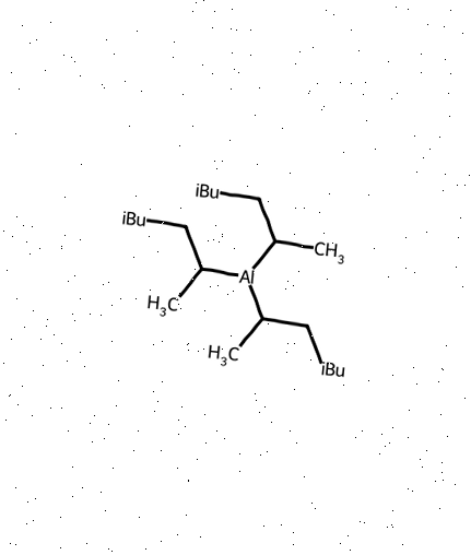 CCC(C)C[CH](C)[Al]([CH](C)CC(C)CC)[CH](C)CC(C)CC